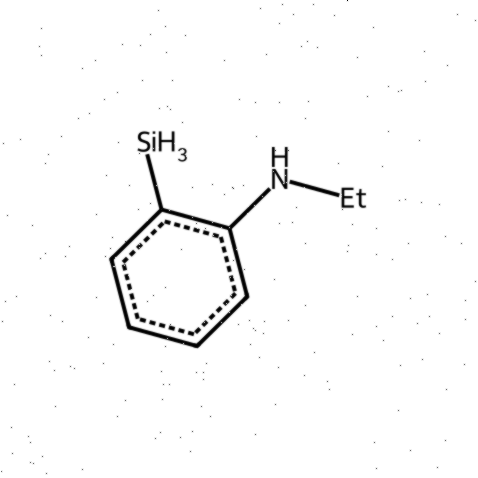 CCNc1ccccc1[SiH3]